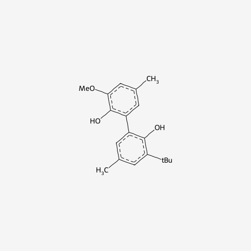 COc1cc(C)cc(-c2cc(C)cc(C(C)(C)C)c2O)c1O